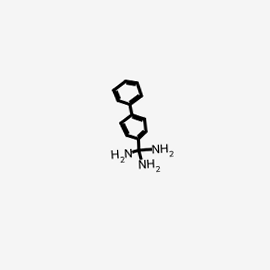 NC(N)(N)c1ccc(-c2ccccc2)cc1